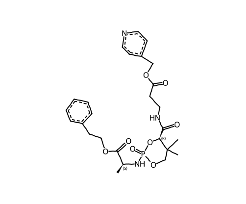 C[C@H](NP1(=O)OCC(C)(C)[C@H](C(=O)NCCC(=O)OCc2ccncc2)O1)C(=O)OCCc1ccccc1